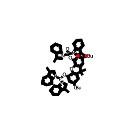 Cc1cn(P(Oc2cc(C(C)(C)C)cc3c2Oc2c(OP(=O)(n4cc(C)c5ccccc54)n4cc(C)c5ccccc54)cc(C(C)(C)C)cc2C3(C)C)n2cc(C)c3ccccc32)c2ccccc12